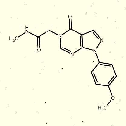 CNC(=O)Cn1cnc2c(cnn2-c2ccc(OC)cc2)c1=O